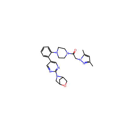 Cc1cc(C)n(CC(=O)N2CCN(c3ccccc3-c3cnc(N4CC5CC4CO5)nc3)CC2)n1